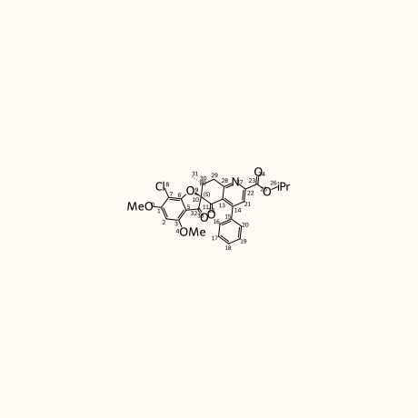 COc1cc(OC)c2c(c1Cl)O[C@@]1(C(=O)c3c(-c4ccccc4)cc(C(=O)OC(C)C)nc3C[C@H]1C)C2=O